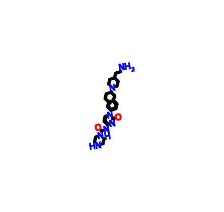 NCCC1CCN(C2CCc3cc(-n4ccc(NC(=O)N5CCNCC5)nc4=O)ccc3C2)CC1